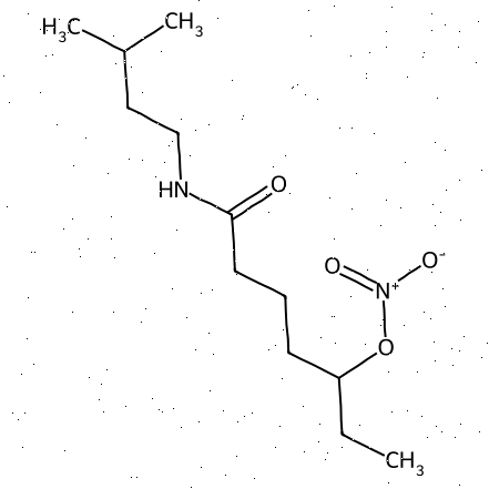 CCC(CCCC(=O)NCCC(C)C)O[N+](=O)[O-]